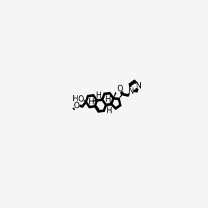 COC[C@]1(O)CC[C@H]2C(=CC[C@@H]3[C@@H]2CC[C@]2(C)[C@@H](C(=O)Cn4ccnc4)CC[C@@H]32)C1